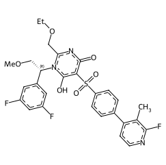 CCOCc1nc(=O)c(S(=O)(=O)c2ccc(-c3ccnc(F)c3C)cc2)c(O)n1[C@@H](COC)c1cc(F)cc(F)c1